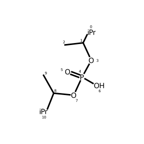 CC(C)C(C)OP(=O)(O)OC(C)C(C)C